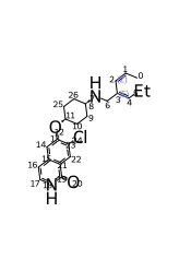 C/C=C\C(=C/CC)CN[C@H]1CC[C@@H](Oc2cc3cc[nH]c(=O)c3cc2Cl)CC1